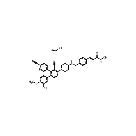 COc1ccc(-c2ccc(N3CCC(NCc4ccc(/C=C/C(=O)NO)cc4)CC3)c(C#N)c2-c2ccc(C#N)nc2)cc1O.O=CO